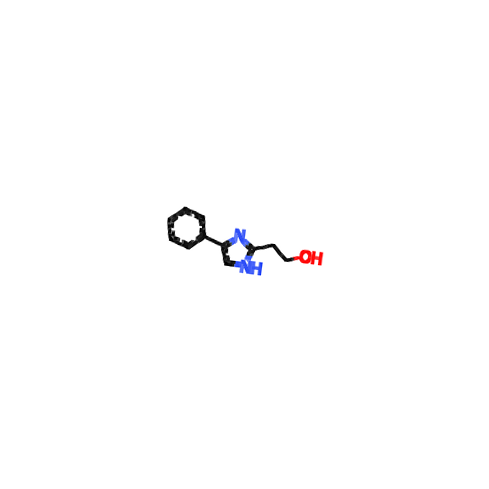 OCCc1nc(-c2ccccc2)c[nH]1